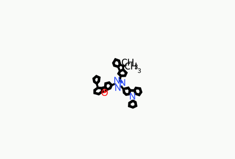 CC1(C)c2ccccc2-c2cc(-c3nc(-c4ccc5c(c4)oc4cccc(-c6ccccc6)c45)nc(-c4ccc5c(c4)c4ccccc4n5-c4ccccc4)n3)ccc21